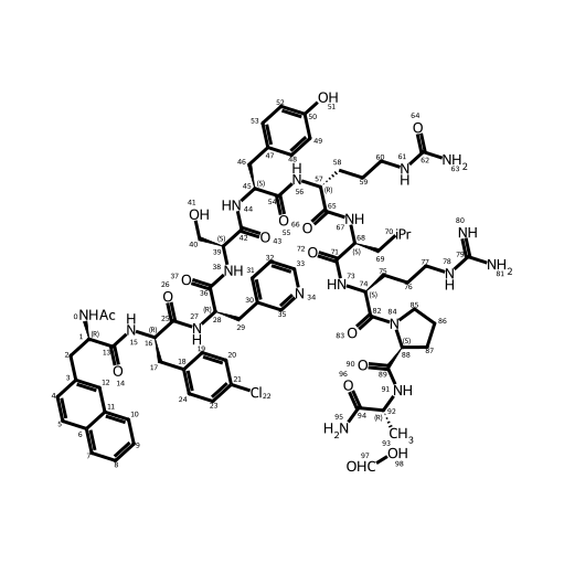 CC(=O)N[C@H](Cc1ccc2ccccc2c1)C(=O)N[C@H](Cc1ccc(Cl)cc1)C(=O)N[C@H](Cc1cccnc1)C(=O)N[C@@H](CO)C(=O)N[C@@H](Cc1ccc(O)cc1)C(=O)N[C@H](CCCNC(N)=O)C(=O)N[C@@H](CC(C)C)C(=O)N[C@@H](CCCNC(=N)N)C(=O)N1CCC[C@H]1C(=O)N[C@H](C)C(N)=O.O=CO